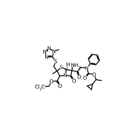 CC(OC(=O)N(CC(=O)C1(N)C(=O)N2C(C(=O)OCC(Cl)(Cl)Cl)C(C)(CSc3nnnn3C)S[C@H]21)c1ccccc1)C1CC1